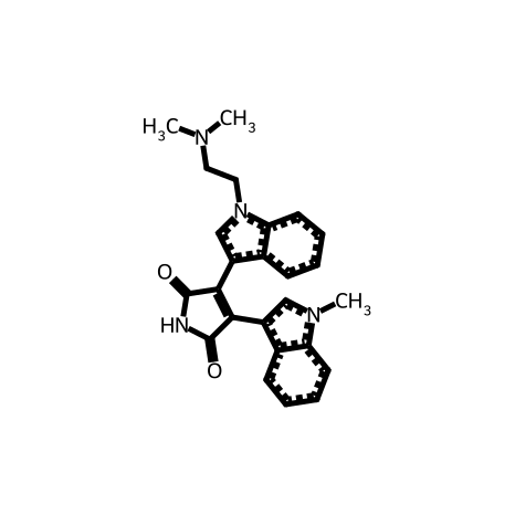 CN(C)CCn1cc(C2=C(c3cn(C)c4ccccc34)C(=O)NC2=O)c2ccccc21